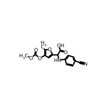 COC(=O)Oc1cc(C(Nc2ccc(C#N)cc2)C(=O)O)oc1C